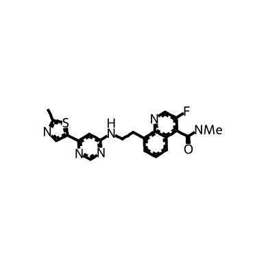 CNC(=O)c1c(F)cnc2c(CCNc3cc(-c4cnc(C)s4)ncn3)cccc12